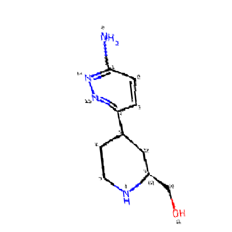 Nc1ccc(C2CCN[C@H](CO)C2)nn1